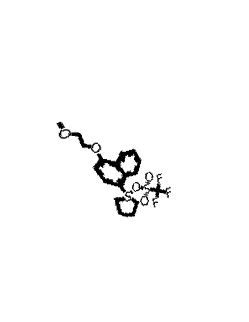 COCCOc1ccc(S2(OS(=O)(=O)C(F)(F)F)CCCC2)c2ccccc12